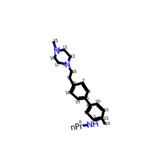 CCCNc1cc(-c2ccc(CCN3CCN(C)CC3)cc2)ccc1C